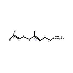 CCOC(=O)SC/C=C(\C)CCC=C(C)C